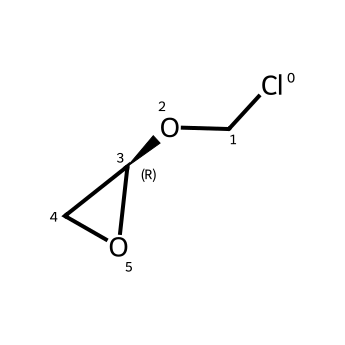 ClCO[C@@H]1CO1